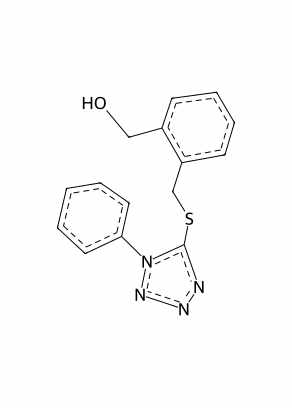 OCc1ccccc1CSc1nnnn1-c1ccccc1